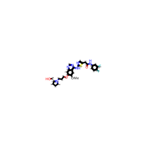 COc1cc2c(Nc3ncc(CC(=O)Nc4ccc(F)c(F)c4)s3)ncnc2cc1OCCCN1CCC[C@@H]1CO